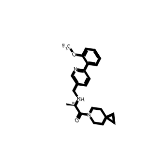 C[C@@H](NCc1ccc(-c2ccccc2OC(F)(F)F)nc1)C(=O)N1CCC2(CC1)CC2